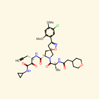 C#CC[C@H](NC(=O)[C@@H]1C[C@]2(CC(c3cc(Cl)c(OC)cc3OC)=NO2)CN1C(=O)[C@@H](NC(=O)CC1CCOCC1)C(C)(C)C)C(=O)C(=O)NC1CC1